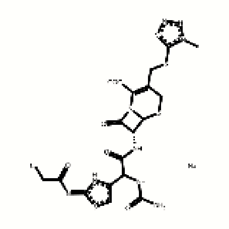 Cn1nnnc1SCC1=C(C(=O)[O-])N2C(=O)[C@@H](NC(=O)C(NC(N)=O)c3csc(=NC(=O)CCl)[nH]3)C2SC1.[Na+]